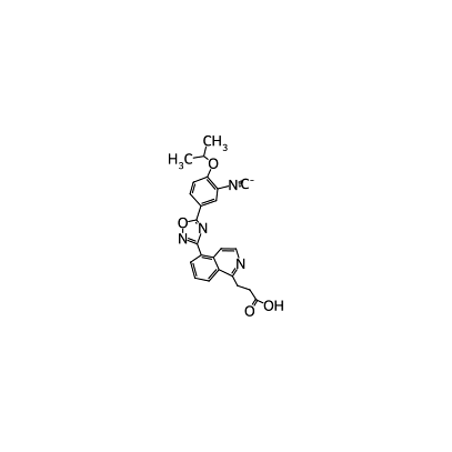 [C-]#[N+]c1cc(-c2nc(-c3cccc4c(CCC(=O)O)nccc34)no2)ccc1OC(C)C